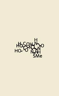 CSc1nc2c3c(cn(C4O[C@H](CO)[C@@H](O)C4(C)O)c3n1)NCC(=O)N2